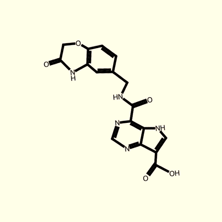 O=C1COc2ccc(CNC(=O)c3ncnc4c(C(=O)O)c[nH]c34)cc2N1